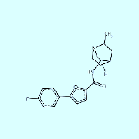 CC1CC2CCN1C[C@@H]2NC(=O)c1ccc(-c2ccc(F)cc2)o1